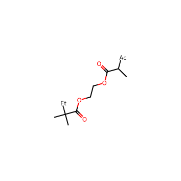 CCC(C)(C)C(=O)OCCOC(=O)C(C)C(C)=O